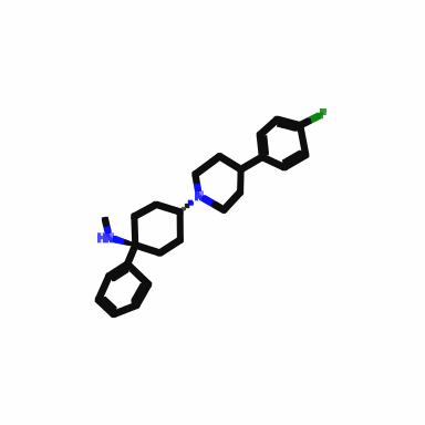 CN[C@]1(c2ccccc2)CC[C@@H](N2CCC(c3ccc(F)cc3)CC2)CC1